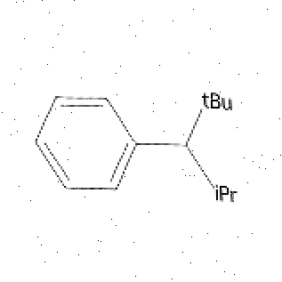 [CH2]C(C)C(c1ccccc1)C(C)(C)C